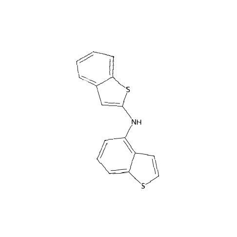 c1ccc2sc(Nc3cccc4sccc34)cc2c1